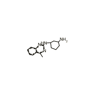 Cc1nc(NC2CCCC(N)C2)nc2ccccc12